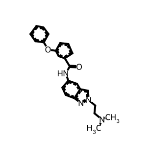 CN(C)CCn1cc2cc(NC(=O)c3cccc(Oc4ccccc4)c3)ccc2n1